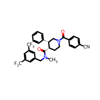 CN(Cc1cc(C(F)(F)F)cc(C(F)(F)F)c1)C(=O)[C@H]1CCN(C(=O)c2ccc(C#N)cc2)C[C@H]1c1ccccc1